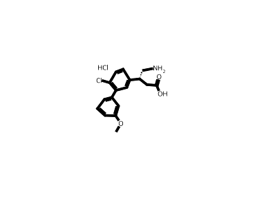 COc1cccc(-c2cc([C@H](CN)CC(=O)O)ccc2Cl)c1.Cl